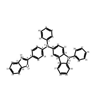 c1ccc(N(c2ccc(-c3nc4ccccc4o3)cc2)c2ccc3c(c2)c2ccccc2n3-c2ccccc2)cc1